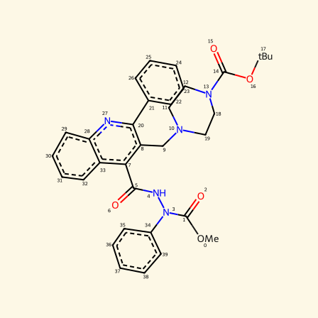 COC(=O)N(NC(=O)c1c(CN2CCN(C(=O)OC(C)(C)C)CC2)c(-c2ccccc2)nc2ccccc12)c1ccccc1